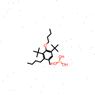 CCCCOc1c(C(C)(C)C)cc(C)c(CCCC)c1C(C)(C)C.OP(O)O